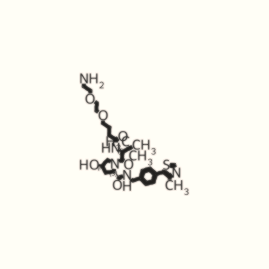 Cc1ncsc1-c1ccc(CNC(=O)[C@@H]2C[C@@H](O)CN2C(=O)[C@@H](NC(=O)CCCOCCOCCN)C(C)(C)C)cc1